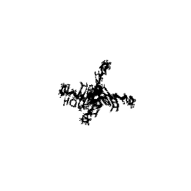 N=C(NNCCCN1CCCC1)c1c(NCCCN2CCCC2)c(C(=O)O)c(C(=O)NNCCCN2CCCC2)c2c3c(NCCCN4CCCC4)cc(c(=O)[nH]c3=O)c12